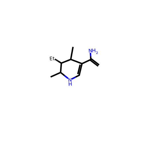 C=C(N)C1=CNC(C)C(CC)C1C